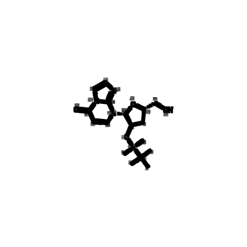 CC(C)(C)[Si](C)(C)OC1C[C@@H](CO)O[C@H]1n1ccc(=O)n2ccnc12